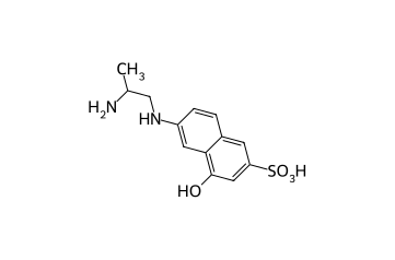 CC(N)CNc1ccc2cc(S(=O)(=O)O)cc(O)c2c1